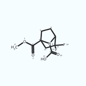 COC(=O)C12CCC(N1C(=O)O)C(F)(F)C2